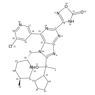 COC(C)(c1nc2nc(-c3noc(=O)[nH]3)nc(-c3cncc(Cl)c3)c2n1C[C@H]1CC[C@H](C)CC1)C1CCCC1